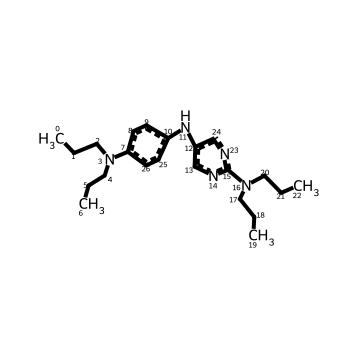 CCCN(CCC)c1ccc(Nc2cnc(N(CCC)CCC)nc2)cc1